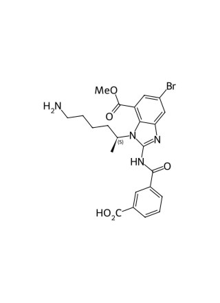 COC(=O)c1cc(Br)cc2nc(NC(=O)c3cccc(C(=O)O)c3)n([C@@H](C)CCCCN)c12